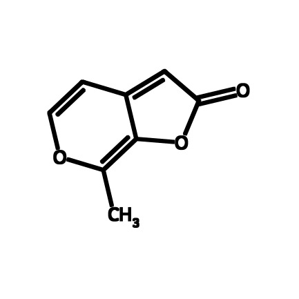 Cc1occc2cc(=O)oc1-2